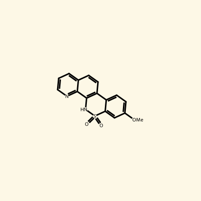 COc1ccc2c(c1)S(=O)(=O)Nc1c-2ccc2cccnc12